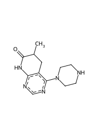 CC1Cc2c(ncnc2N2CCNCC2)NC1=O